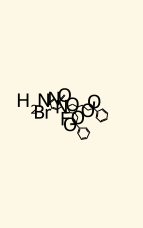 Nc1nc(=O)n(C2OC(COC(=O)c3ccccc3)C(OC(=O)c3ccccc3)C2F)cc1Br